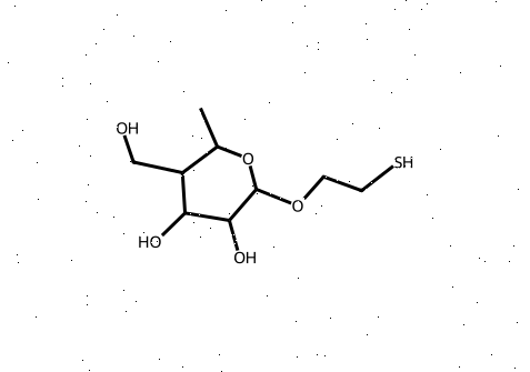 CC1OC(OCCS)C(O)C(O)C1CO